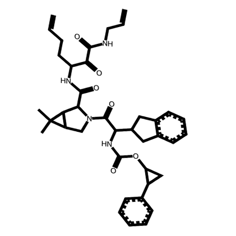 C=CCCC(NC(=O)C1C2C(CN1C(=O)C(NC(=O)OC1CC1c1ccccc1)C1Cc3ccccc3C1)C2(C)C)C(=O)C(=O)NCC=C